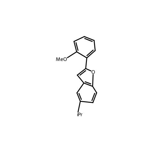 COc1ccccc1-c1cc2cc(C(C)C)ccc2o1